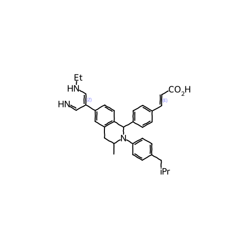 CCN/C=C(\C=N)c1ccc2c(c1)CC(C)N(c1ccc(CC(C)C)cc1)C2c1ccc(/C=C/C(=O)O)cc1